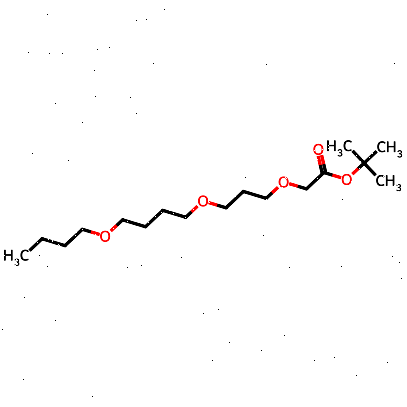 CCCCOCCCCOCCCOCC(=O)OC(C)(C)C